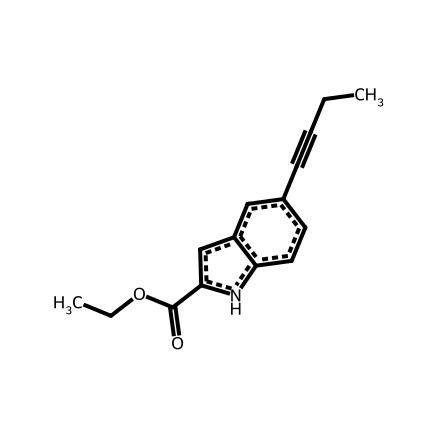 CCC#Cc1ccc2[nH]c(C(=O)OCC)cc2c1